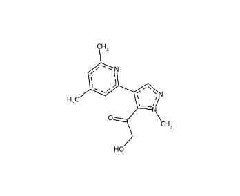 Cc1cc(C)nc(-c2cnn(C)c2C(=O)CO)c1